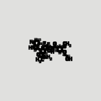 COc1cc(C(=O)NCC(O)(c2cc3c(c(-c4c[nH]c5c(F)cccc45)n2)OCC3(C)N)C(F)(F)F)ccc1OCCO